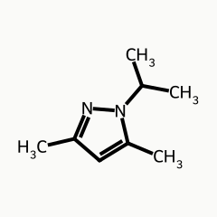 Cc1cc(C)n(C(C)C)n1